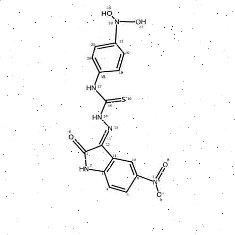 O=C1Nc2ccc([N+](=O)[O-])cc2/C1=N/NC(=S)Nc1ccc(N(O)O)cc1